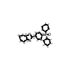 O=P(c1ccccc1)(c1ccccc1)c1ccc(-c2nc3ccccc3s2)cc1